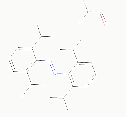 CC(C)C=O.CC(C)c1cccc(C(C)C)c1N=Nc1c(C(C)C)cccc1C(C)C